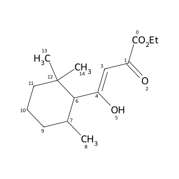 CCOC(=O)C(=O)/C=C(\O)C1C(C)CCCC1(C)C